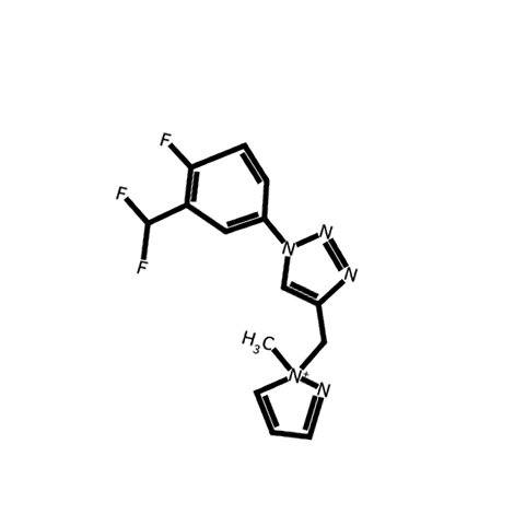 C[N+]1(Cc2cn(-c3ccc(F)c(C(F)F)c3)nn2)C=CC=N1